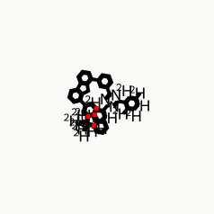 [2H]c1c([2H])c([2H])c(-c2nc(-c3cccc(-c4cccc5c4Cc4c(-c6ccc7c(c6)C(C([2H])([2H])[2H])(C([2H])([2H])[2H])c6ccccc6-7)cccc4-5)c3)nc(-c3c([2H])c([2H])c([2H])c([2H])c3[2H])n2)c([2H])c1[2H]